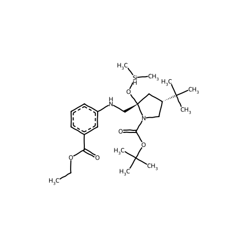 CCOC(=O)c1cccc(NC[C@@]2(O[SiH](C)C)C[C@H](C(C)(C)C)CN2C(=O)OC(C)(C)C)c1